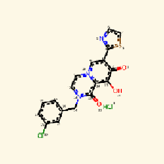 Cl.O=c1c(-c2nccs2)cn2ccn(Cc3cccc(Cl)c3)c(=O)c2c1O